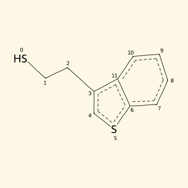 SCCc1csc2ccccc12